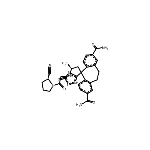 C[C@@H](CC1(c2nc(=O)o[nH]2)c2ccc(C(N)=O)cc2CCc2cc(C(N)=O)ccc21)NCC(=O)N1CCC[C@H]1C#N